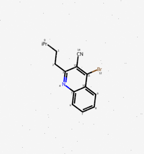 CC(C)CCc1nc2ccccc2c(Br)c1C#N